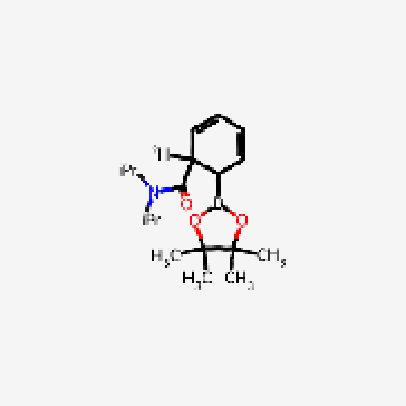 [2H]C1(C(=O)N(C(C)C)C(C)C)C=CC=CC1B1OC(C)(C)C(C)(C)O1